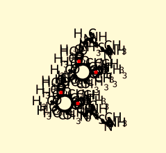 CC[C@H]1OC(=O)[C@H](C)[C@@H](O[C@H]2C[C@@](C)(OC)[C@@H](O)[C@H](C)O2)C(C)[C@@H](O[C@@H]2O[C@H](C)C[C@H](N(C)C)[C@H]2O)[C@](C)(OC)C[C@@H](C)C(=O)[C@H](C)[C@@H](O)[C@]1(C)O.CC[C@H]1OC(=O)[C@H](C)[C@@H](O[C@H]2C[C@@](C)(OC)[C@@H](O)[C@H](C)O2)C(C)[C@@H](O[C@@H]2O[C@H](C)C[C@H](N(C)C)[C@H]2O)[C@](C)(OC)C[C@@H](C)C(=O)[C@H](C)[C@@H](O)[C@]1(C)O.CN/C(=N/C#N)NCCSCc1nc[nH]c1C.CN/C(=N/C#N)NCCSCc1nc[nH]c1C